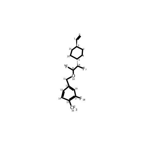 C=C[C@H]1CC[C@H](C(F)C(F)OCc2ccc(C(F)(F)F)c(F)c2)CC1